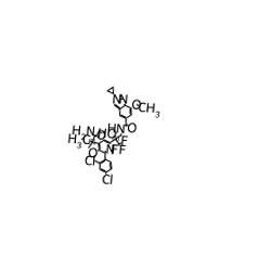 COc1cc(C(=O)NC[C@](O)(c2cc3c(c(-c4ccc(Cl)cc4Cl)n2)OC[C@]3(C)C(N)=O)C(F)(F)F)cc2cn(C3CC3)nc12